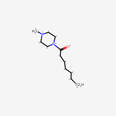 CN1CCN(C(=O)CCCCCC(=O)O)CC1